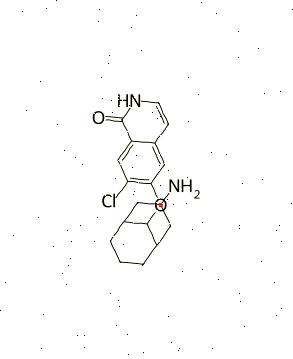 NC1CC2CCCC(C1)C2Oc1cc2cc[nH]c(=O)c2cc1Cl